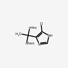 CCCCCCC(C)(CCCCC)c1nc[nH]c1Cl